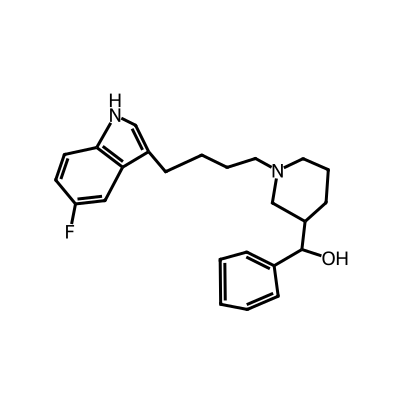 OC(c1ccccc1)C1CCCN(CCCCc2c[nH]c3ccc(F)cc23)C1